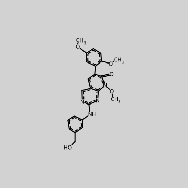 COc1ccc(OC)c(-c2cc3cnc(Nc4cccc(CO)c4)nc3n(OC)c2=O)c1